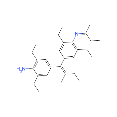 CCC(C)=Nc1c(CC)cc(C(=C(C)CC)c2cc(CC)c(N)c(CC)c2)cc1CC